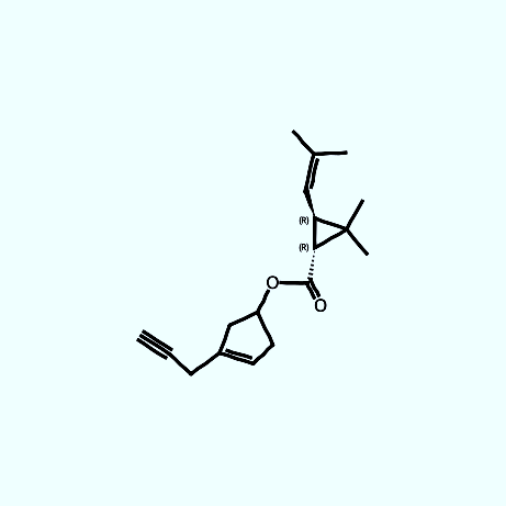 C#CCC1=CCC(OC(=O)[C@@H]2[C@@H](C=C(C)C)C2(C)C)C1